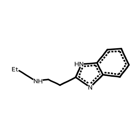 CCNCCc1nc2ccccc2[nH]1